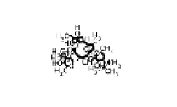 CC[C@@H](O)[C@]1(O)C[C@H]2C3=C(C)C[C@@](C)(O3)[C@H](OC3O[C@H](C)C[C@H](N(C)C(C)C)[C@H]3O)[C@@H](C)[C@@H](C[C@H]3C[C@@](C)(OC)[C@@H](O)[C@H](C)O3)[C@H](C)C(=O)O[C@H]21